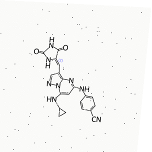 N#Cc1ccc(Nc2cc(NC3CC3)n3ncc(/C=C4\NC(=O)NC4=O)c3n2)cc1